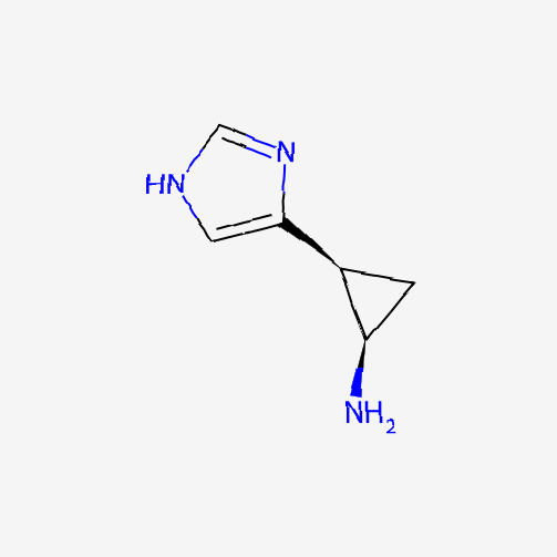 N[C@@H]1C[C@@H]1c1c[nH]cn1